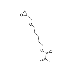 C=C(C)C(=O)OCCCCCOCC1CO1